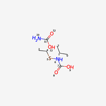 CCC.CCSNC(=O)O.NC(=O)O